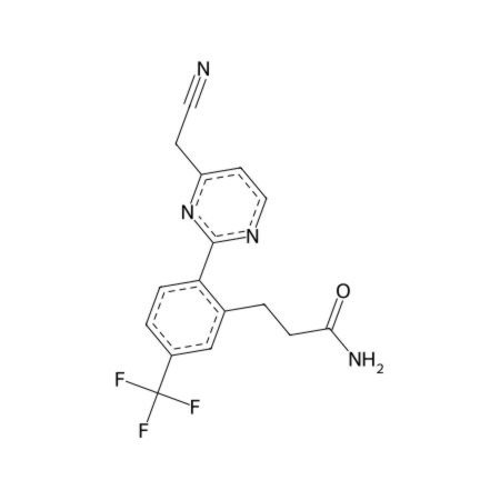 N#CCc1ccnc(-c2ccc(C(F)(F)F)cc2CCC(N)=O)n1